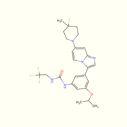 CC(C)Oc1cc(NC(=O)NCC(F)(F)F)cc(-c2cnc3cc(N4CCC(C)(F)CC4)ccn23)c1